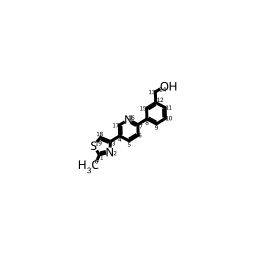 Cc1nc(-c2ccc(-c3cccc(CO)c3)nc2)cs1